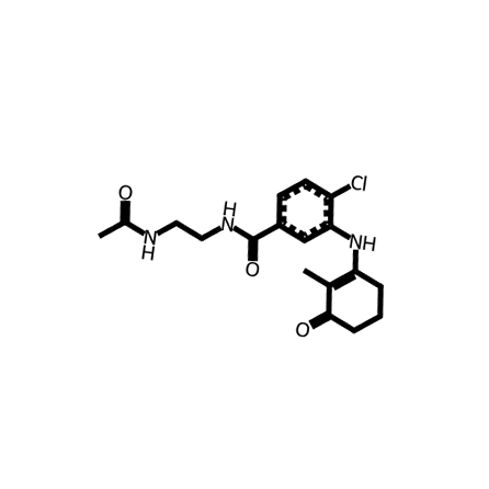 CC(=O)NCCNC(=O)c1ccc(Cl)c(NC2=C(C)C(=O)CCC2)c1